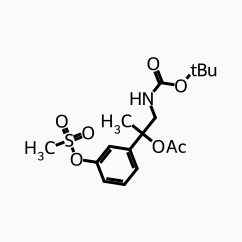 CC(=O)OC(C)(CNC(=O)OC(C)(C)C)c1cccc(OS(C)(=O)=O)c1